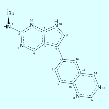 CC[C@H](C)Nc1ncc2c(-c3ccc4ncncc4c3)c[nH]c2n1